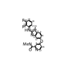 CNC(=O)c1cc(Oc2ccc3c(c2)nc(Nc2cccc(F)c2F)n3C)ccn1